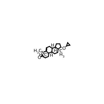 CN1C(=O)CC[C@@]2(C)C1=CC[C@H]1[C@@H]3CC[C@H](OC4CC4)[C@@]3(C)CC[C@@H]12